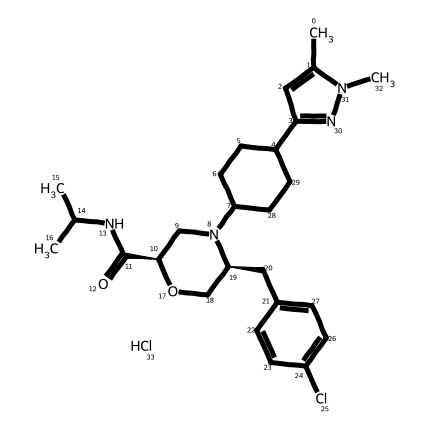 Cc1cc(C2CCC(N3C[C@H](C(=O)NC(C)C)OC[C@@H]3Cc3ccc(Cl)cc3)CC2)nn1C.Cl